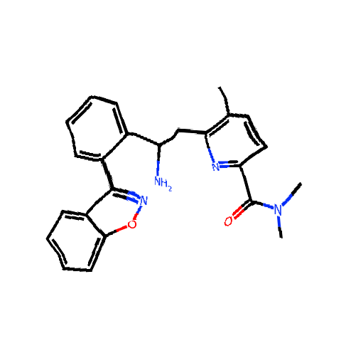 Cc1ccc(C(=O)N(C)C)nc1CC(N)c1ccccc1-c1noc2ccccc12